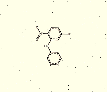 O=[N+]([O-])c1ccc(Br)cc1Nc1ccncc1